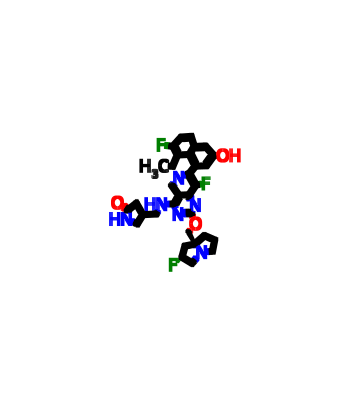 CCc1c(F)ccc2cc(O)cc(-c3ncc4c(NCC5CNC(=O)C5)nc(OC[C@@]56CCCN5C[C@H](F)C6)nc4c3F)c12